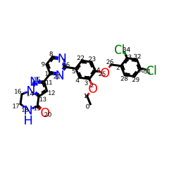 CCOc1cc(-c2nccc(-c3cc4n(n3)CCNC4=O)n2)ccc1OCc1ccc(Cl)cc1Cl